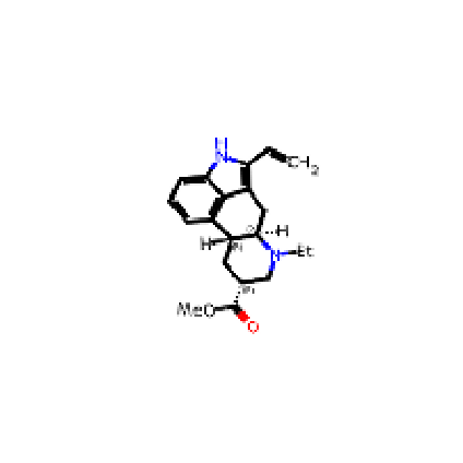 C=Cc1[nH]c2cccc3c2c1C[C@@H]1[C@@H]3C[C@@H](C(=O)OC)CN1CC